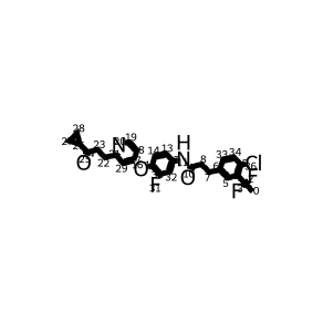 CC(F)(F)c1cc(CCC(=O)Nc2ccc(Oc3ccnc(CCC(=O)C4CC4)c3)c(F)c2)ccc1Cl